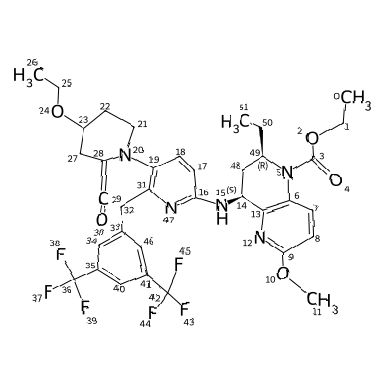 CCOC(=O)N1c2ccc(OC)nc2[C@@H](Nc2ccc(N3CCC(OCC)CC3=C=O)c(Cc3cc(C(F)(F)F)cc(C(F)(F)F)c3)n2)C[C@H]1CC